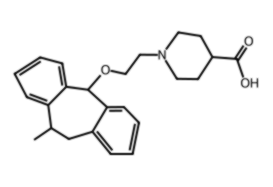 CC1Cc2ccccc2C(OCCN2CCC(C(=O)O)CC2)c2ccccc21